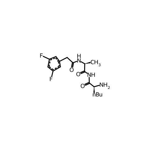 CCCC[C@H](N)C(=O)NC(=O)[C@H](C)NC(=O)Cc1cc(F)cc(F)c1